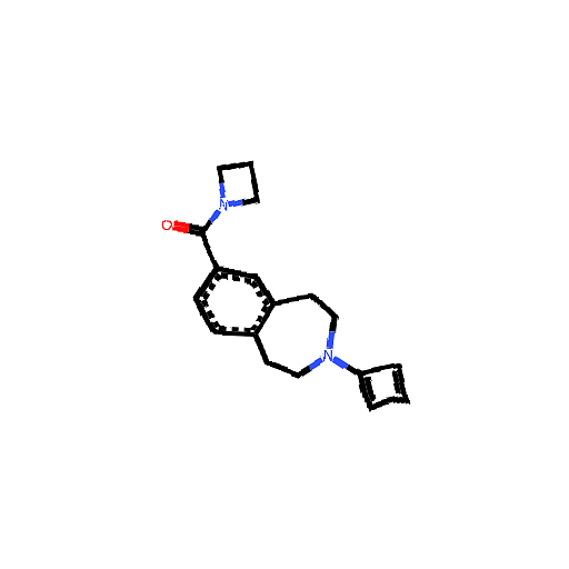 O=C(c1ccc2c(c1)CCN(C1=CC=C1)CC2)N1CCC1